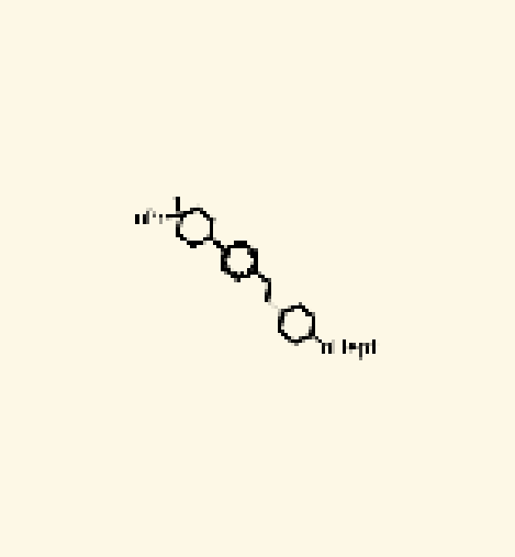 CCCCCCC[C@H]1CC[C@H](CCc2ccc(C3CCC(C)(CCC)CC3)cc2)CC1